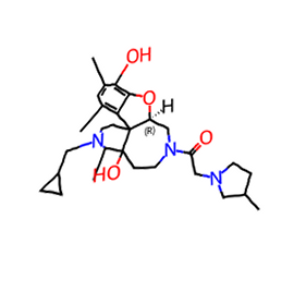 Cc1cc(C)c2c(c1O)O[C@H]1CN(C(=O)CN3CCC(C)C3)CCC3(O)C(C)N(CC4CC4)CCC213